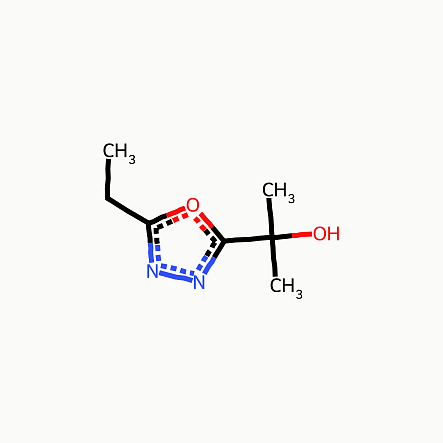 CCc1nnc(C(C)(C)O)o1